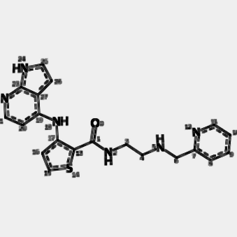 O=C(NCCNCc1ccccn1)c1sccc1Nc1ccnc2[nH]ccc12